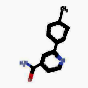 Cc1ccc(-c2cc(C(N)=O)ccn2)cc1